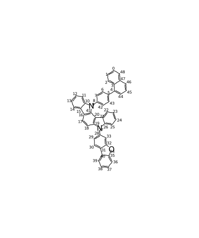 c1ccc2c(-c3ccc(-n4c5ccccc5c5ccc6c(c7ccccc7n6-c6ccc7c(c6)oc6ccccc67)c54)cc3)cccc2c1